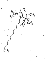 CCCCCCCCCCCCC(C1=[C]([Pt]([CH3])([CH3])[CH3])CC=C1)[Si](OC)(OC)OC